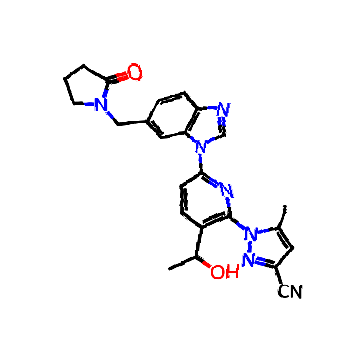 Cc1cc(C#N)nn1-c1nc(-n2cnc3ccc(CN4CCCC4=O)cc32)ccc1C(C)O